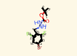 CC(C)(C)OC(=O)NNCc1c(F)cc(Br)cc1F